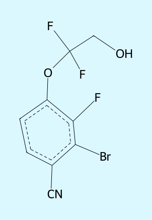 N#Cc1ccc(OC(F)(F)CO)c(F)c1Br